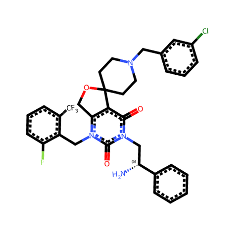 N[C@H](Cn1c(=O)c2c(n(Cc3c(F)cccc3C(F)(F)F)c1=O)COC21CCN(Cc2cccc(Cl)c2)CC1)c1ccccc1